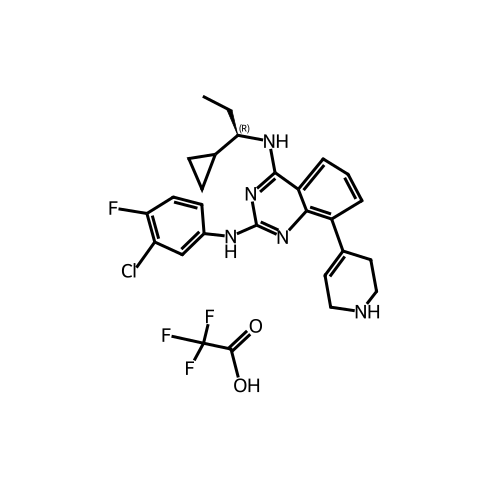 CC[C@@H](Nc1nc(Nc2ccc(F)c(Cl)c2)nc2c(C3=CCNCC3)cccc12)C1CC1.O=C(O)C(F)(F)F